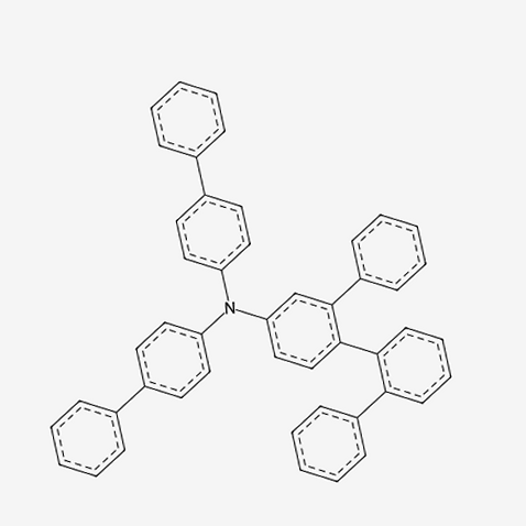 c1ccc(-c2ccc(N(c3ccc(-c4ccccc4)cc3)c3ccc(-c4ccccc4-c4ccccc4)c(-c4ccccc4)c3)cc2)cc1